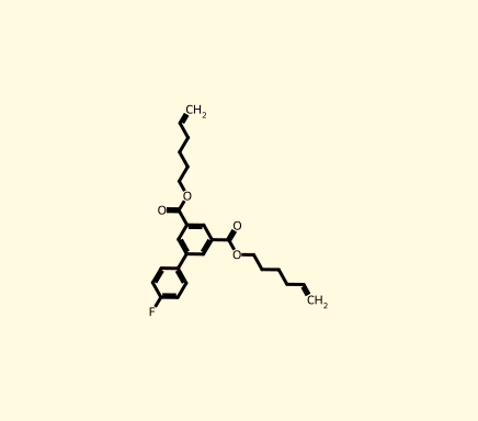 C=CCCCCOC(=O)c1cc(C(=O)OCCCCC=C)cc(-c2ccc(F)cc2)c1